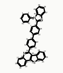 c1ccc(-n2c(-c3ccc(-c4ccc(-c5nc6ccccc6c6sc7ccccc7c56)cc4)cc3)nc3ccccc32)cc1